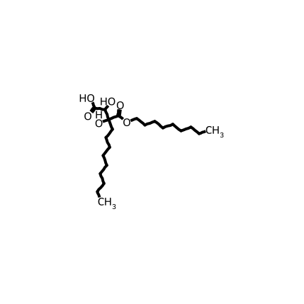 CCCCCCCCCOC(=O)C(O)(CCCCCCCCC)C(O)C(=O)O